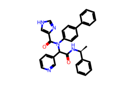 C[C@H](NC(=O)C(c1cccnc1)N(C(=O)c1c[nH]cn1)c1ccc(-c2ccccc2)cc1)c1ccccc1